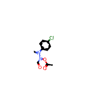 CC(=O)ON(C=O)N(C)c1ccc(Cl)cc1